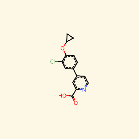 O=C(O)c1cc(-c2ccc(OC3CC3)c(Cl)c2)ccn1